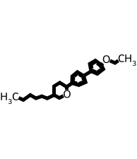 CCCCCCC1CCC(c2ccc(-c3ccc(OCC)cc3)cc2)OC1